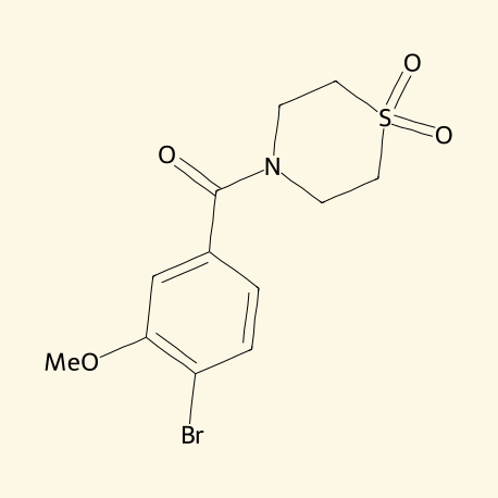 COc1cc(C(=O)N2CCS(=O)(=O)CC2)ccc1Br